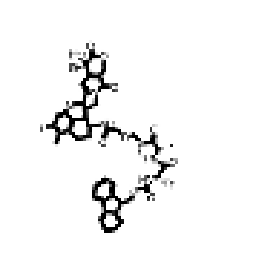 CC[C@@]1(O)C(=O)OCc2c1cc1n(c2=O)Cc2c-1nc1cc(F)c(C)c3c1c2[C@@H](NC(=O)COCNC(=O)[C@H](C)NC(=O)[C@@H](NC(=O)OCC1c2ccccc2-c2ccccc21)C(C)C)CC3